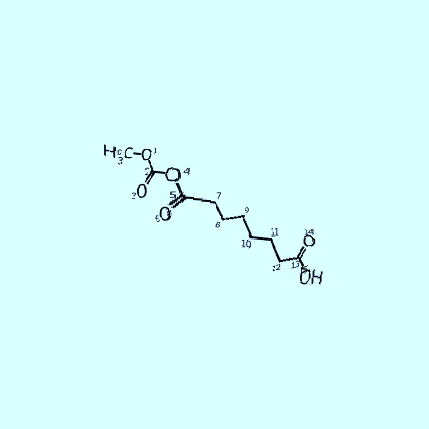 COC(=O)OC(=O)CCCCCCC(=O)O